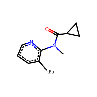 CN(C(=O)C1CC1)c1ncccc1C(C)(C)C